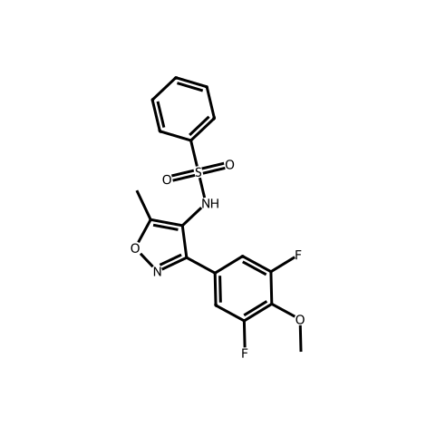 COc1c(F)cc(-c2noc(C)c2NS(=O)(=O)c2ccccc2)cc1F